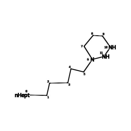 CCCCCCCCCCCCN1CCCNN1